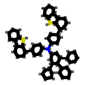 c1ccc(-c2cc(N(c3ccc(-c4cccc5c4sc4ccccc45)cc3)c3ccc(-c4cccc5c4sc4ccccc45)cc3)cc(-c3ccccc3)c2-c2ccccc2)cc1